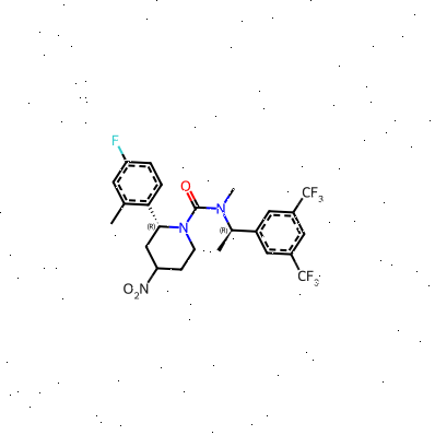 Cc1cc(F)ccc1[C@H]1CC([N+](=O)[O-])CCN1C(=O)N(C)[C@H](C)c1cc(C(F)(F)F)cc(C(F)(F)F)c1